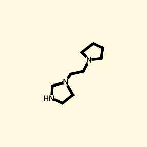 C1CCN(CCN2CCNC2)C1